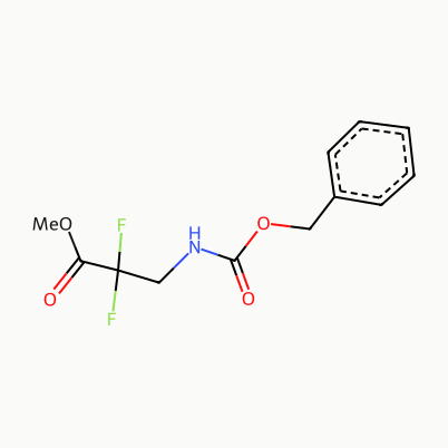 COC(=O)C(F)(F)CNC(=O)OCc1ccccc1